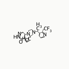 CC(c1cccnc1CC(F)(F)F)N1CCN(c2cn[nH]c(=O)c2Cl)[C@H](C)C1